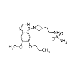 CCCOc1cc2c(N3CC(CCNS(N)(=O)=O)C3)ncnc2cc1OC